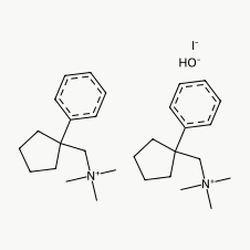 C[N+](C)(C)CC1(c2ccccc2)CCCC1.C[N+](C)(C)CC1(c2ccccc2)CCCC1.[I-].[OH-]